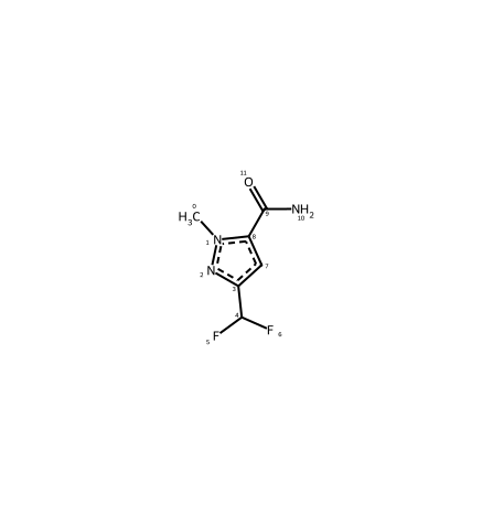 Cn1nc(C(F)F)cc1C(N)=O